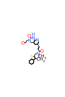 Cc1c(CN(C)C(=O)C=Cc2cnc3c(c2)CN(CC=O)C(=O)N3)sc2ccccc12